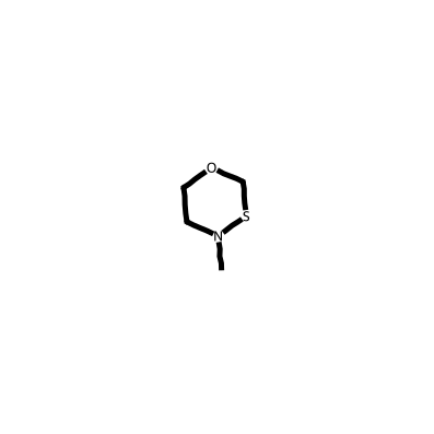 CN1CCOCS1